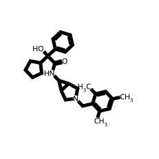 Cc1cc(C)c(CN2CC3C(C2)C3NC(=O)C(O)(c2ccccc2)C2CCCC2)c(C)c1